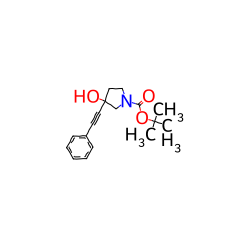 CC(C)(C)OC(=O)N1CCC(O)(C#Cc2ccccc2)C1